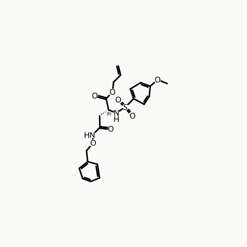 C=CCOC(=O)[C@@H](CC(=O)NOCc1ccccc1)NS(=O)(=O)c1ccc(OC)cc1